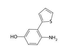 Nc1ccc(O)cc1-c1cccs1